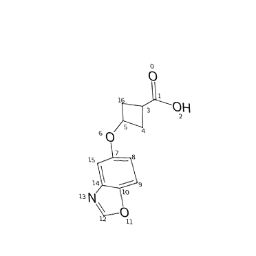 O=C(O)C1CC(Oc2ccc3ocnc3c2)C1